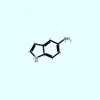 [BiH2][c]1ccc2[nH]ccc2c1